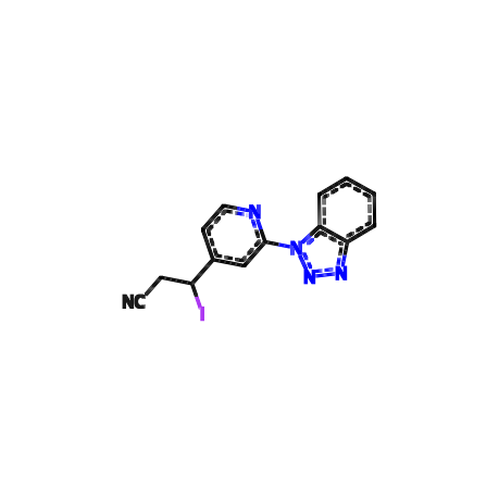 N#CCC(I)c1ccnc(-n2nnc3ccccc32)c1